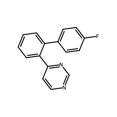 Fc1ccc(-c2ccccc2-c2ccncn2)cc1